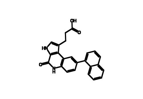 O=C(O)CCc1c[nH]c2c(=O)[nH]c3ccc(-c4cccc5ccccc45)cc3c12